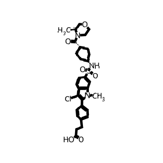 C[C@H]1COCCN1C(=O)[C@H]1CC[C@H](NS(=O)(=O)c2ccc3c(Cl)c(-c4ccc(CCC(=O)O)cc4)n(C)c3c2)CC1